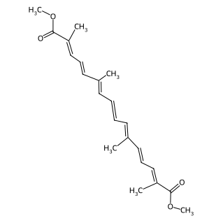 COC(=O)/C(C)=C/C=C/C(C)=C/C=C/C=C(C)/C=C/C=C(\C)C(=O)OC